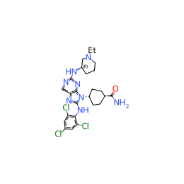 CCN1CCC[C@@H](Nc2ncc3nc(Nc4c(Cl)cc(Cl)cc4Cl)n([C@H]4CC[C@H](C(N)=O)CC4)c3n2)C1